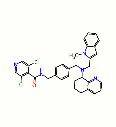 Cn1c(CN(Cc2ccc(CNC(=O)c3c(Cl)cncc3Cl)cc2)C2CCCc3cccnc32)cc2ccccc21